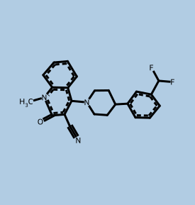 Cn1c(=O)c(C#N)c(N2CCC(c3cccc(C(F)F)c3)CC2)c2ccccc21